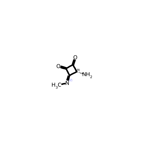 C/N=C1\C(=O)C(=O)[C@@H]1N